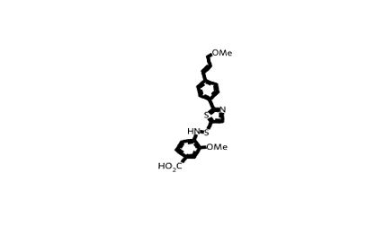 COC/C=C/c1ccc(-c2ncc(SNc3ccc(C(=O)O)cc3OC)s2)cc1